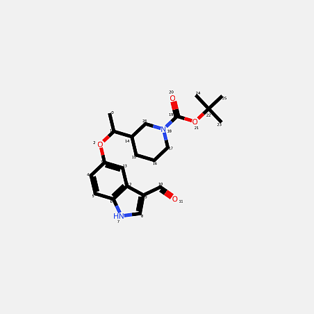 CC(Oc1ccc2[nH]cc(C=O)c2c1)C1CCCN(C(=O)OC(C)(C)C)C1